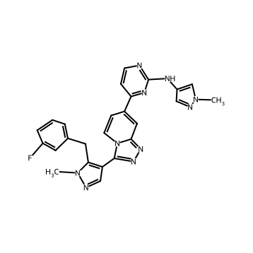 Cn1cc(Nc2nccc(-c3ccn4c(-c5cnn(C)c5Cc5cccc(F)c5)nnc4c3)n2)cn1